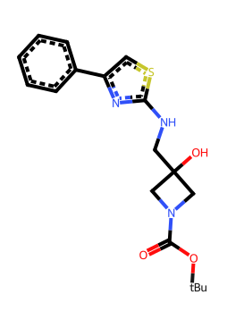 CC(C)(C)OC(=O)N1CC(O)(CNc2nc(-c3ccccc3)cs2)C1